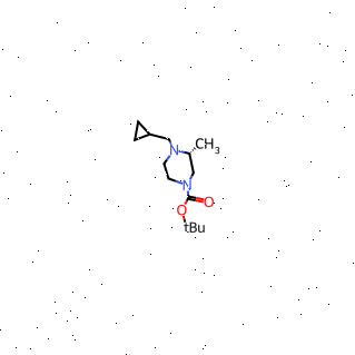 C[C@@H]1CN(C(=O)OC(C)(C)C)CCN1CC1CC1